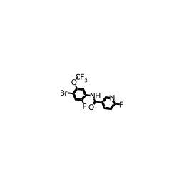 O=C(Nc1cc(OC(F)(F)F)c(Br)cc1F)c1ccc(F)nc1